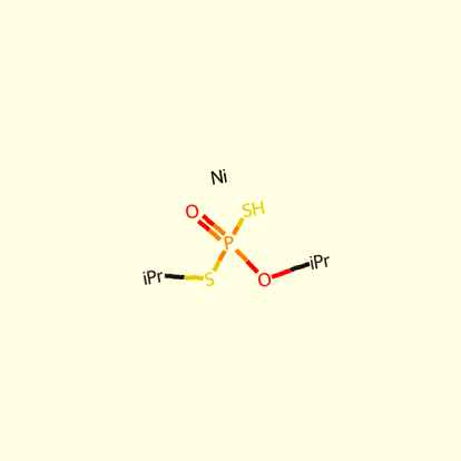 CC(C)OP(=O)(S)SC(C)C.[Ni]